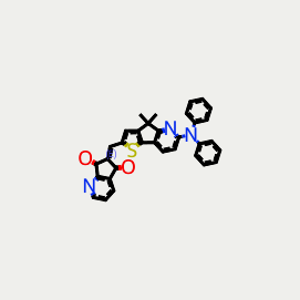 CC1(C)c2cc(/C=C3\C(=O)c4cccnc4C3=O)sc2-c2ccc(N(c3ccccc3)c3ccccc3)nc21